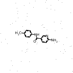 Cc1ccc(NC(=O)c2ccc(N)nc2)cc1